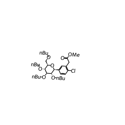 CCCCOC[C@H]1O[C@@H](c2ccc(Cl)c(CC(=O)OC)c2)[C@H](OCCCC)[C@@H](OCCCC)[C@@H]1OCCCC